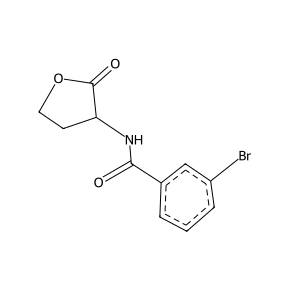 O=C(NC1CCOC1=O)c1cccc(Br)c1